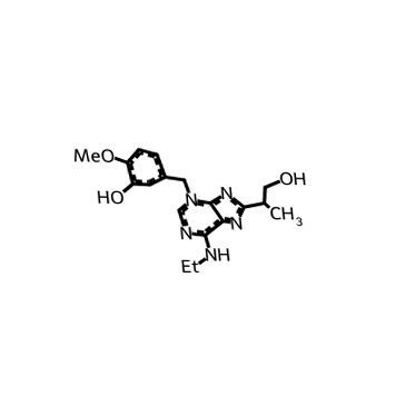 CCNc1ncn(Cc2ccc(OC)c(O)c2)c2nc(C(C)CO)nc1-2